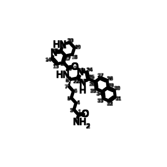 NC(=O)CCCCC[C@H](NC(=O)c1ccnc2c1CCCN2)c1ncc(-c2ccc3ccccc3c2)[nH]1